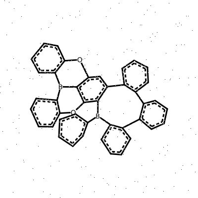 c1ccc(B2c3ccccc3-c3ccccc3-c3ccccc3-c3cc4c5c(c32)Oc2ccccc2B5c2ccccc2O4)cc1